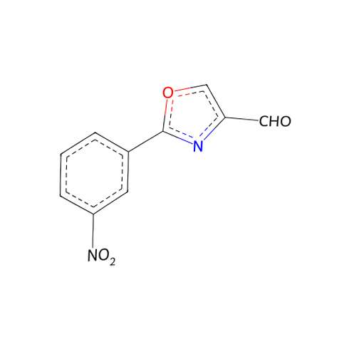 O=Cc1coc(-c2cccc([N+](=O)[O-])c2)n1